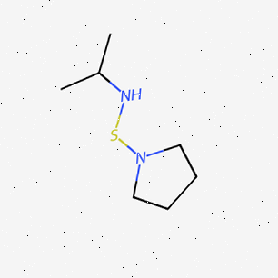 CC(C)NSN1CCCC1